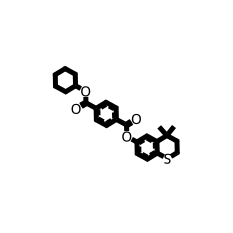 CC1(C)CCSc2ccc(OC(=O)c3ccc(C(=O)OC4CCCCC4)cc3)cc21